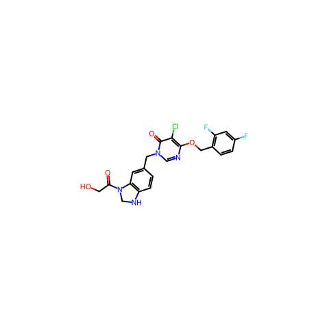 O=C(CO)N1CNc2ccc(Cn3cnc(OCc4ccc(F)cc4F)c(Cl)c3=O)cc21